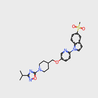 CC(C)c1noc(N2CCC(COc3ccc(-n4ccc5cc(S(C)(=O)=O)ccc54)nc3)CC2)n1